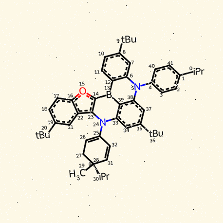 CC(C)c1ccc(N2c3cc(C(C)(C)C)ccc3B3c4oc5ccc(C(C)(C)C)cc5c4N(C4=CC[C@](C)(C(C)C)C=C4)c4cc(C(C)(C)C)cc2c43)cc1